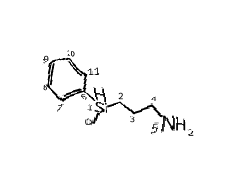 C[SiH](CCCN)c1ccccc1